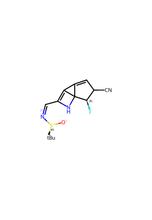 CC(C)(C)[S@+]([O-])/N=C\C1=C2C3=CC(C#N)[C@@H](F)C32N1